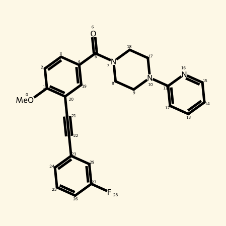 COc1ccc(C(=O)N2CCN(c3ccccn3)CC2)cc1C#Cc1cccc(F)c1